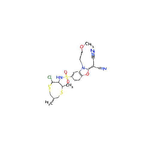 C=C1CSC(C)C(NS(=O)(=O)c2ccc3c(c2)N(CCOC)C(=C(C#N)C#N)O3)C(Cl)SC1